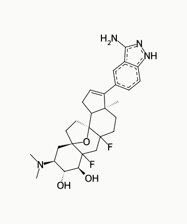 CN(C)[C@H]1C[C@@]23CC[C@]4(O2)C2CC=C(c5ccc6[nH]nc(N)c6c5)[C@@]2(C)CCC4(F)CC3(F)[C@@H](O)[C@@H]1O